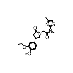 CCOc1cc([C@@H]2CC(=O)N(CC(=O)N(C)c3nc(C)cs3)C2)ccc1OC